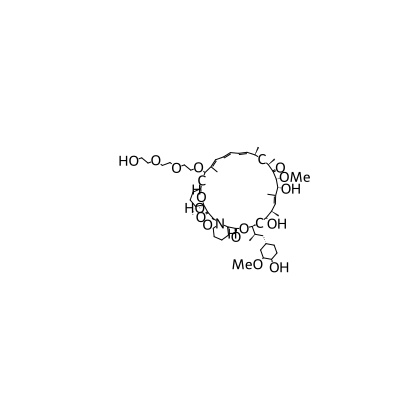 CO[C@@H]1C[C@H](C[C@@H](C)[C@@H]2CC(O)[C@H](C)/C=C(\C)[C@@H](O)[C@@H](OC)C(=O)[C@H](C)C[C@H](C)/C=C/C=C/C=C(\C)C(OCCOCCOCCO)C[C@@H]3CC[C@@H](C)[C@@](O)(O3)C(=O)C(=O)N3CCCC[C@H]3C(=O)O2)CC[C@H]1O